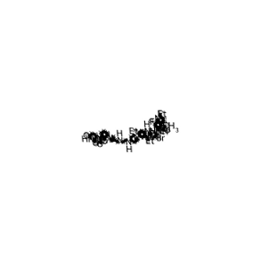 CCOc1cc(N2CCC(NCCNCC3CN(c4cccc5c4oc(=O)n5C4CCC(=O)NC4=O)C3)CC2)c(CC)cc1Nc1ncc(Br)c(Nc2cc(F)c3nc(CC)ccc3c2P(C)(C)=O)n1